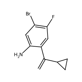 C=C(c1cc(F)c(Br)cc1N)C1CC1